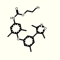 Cc1cc(Oc2c(C)cc(NC(=O)OCCC(C)C)cc2C)cc(-c2c(C)noc2C)c1